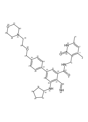 Cc1cc(C)c(CNC(=O)c2cc(-c3ccc(COCCN4CCOCC4)cc3)cc(NC3CCCC3)c2C=N)c(=O)[nH]1